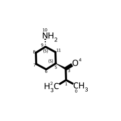 CC(C)C(=O)[C@H]1CCC[C@H](N)C1